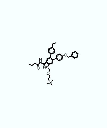 CCCC(=O)Nc1nn(COCC[Si](C)(C)C)c2cc(-c3ccc(OCc4ccccc4)cc3)c(-c3ccc(CC)cc3)cc12